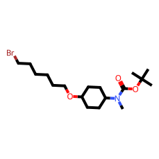 CN(C(=O)OC(C)(C)C)C1CCC(OCCCCCCBr)CC1